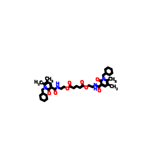 Cc1cc(C(=O)NCCOC(=O)CCCC(=O)OCCNC(=O)c2cc(C)c(C)n(CC3CCCCC3)c2=O)c(=O)n(CC2CCCCC2)c1C